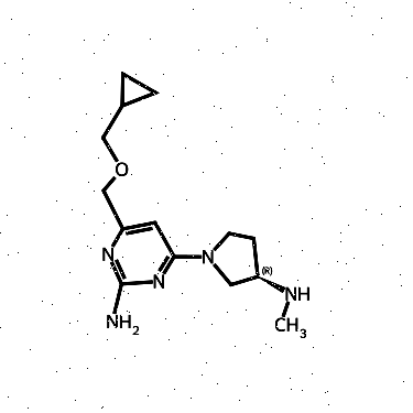 CN[C@@H]1CCN(c2cc(COCC3CC3)nc(N)n2)C1